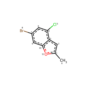 Cc1cc2c(Cl)cc(Br)cc2o1